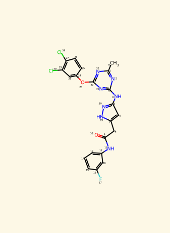 Cc1nc(Nc2cc(CC(=O)Nc3cccc(F)c3)[nH]n2)nc(Oc2ccc(Cl)c(Cl)c2)n1